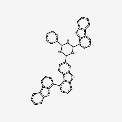 c1ccc(C2NC(c3ccc4c(c3)sc3cccc(-c5cccc6c5sc5ccccc56)c34)NC(c3cccc4c3oc3ccccc34)N2)cc1